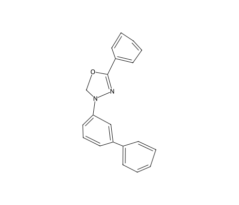 c1ccc(C2=NN(c3cccc(-c4ccccc4)c3)CO2)cc1